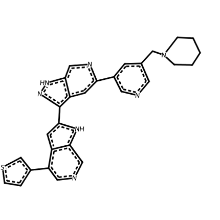 c1cc(-c2cncc3[nH]c(-c4n[nH]c5cnc(-c6cncc(CN7CCCCC7)c6)cc45)cc23)cs1